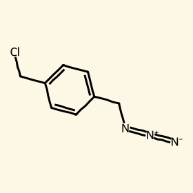 [N-]=[N+]=NCc1ccc(CCl)cc1